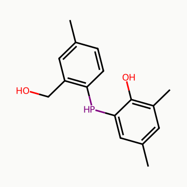 Cc1ccc(Pc2cc(C)cc(C)c2O)c(CO)c1